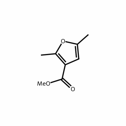 COC(=O)c1cc(C)oc1C